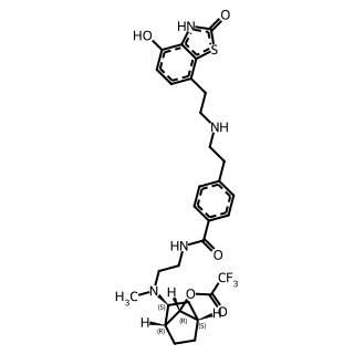 CN(CCNC(=O)c1ccc(CCNCCc2ccc(O)c3[nH]c(=O)sc23)cc1)[C@H]1C[C@@H]2CC[C@H]1[C@@H]2OC(=O)C(F)(F)F